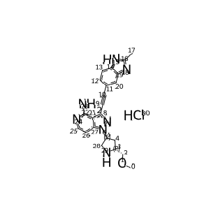 COC[C@H]1C[C@H](n2nc(C#Cc3ccc4[nH]c(C)nc4c3)c3c(N)nccc32)CN1.Cl